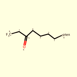 CCCCCCCCCCC(=O)CC(F)(F)F